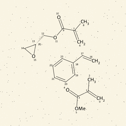 C=C(C)C(=O)OC.C=C(C)C(=O)OC[C@H]1CO1.C=Cc1ccccc1